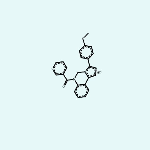 COc1ccc(-c2ncc3n2CN(C(=O)c2cccnc2)c2ccccc2-3)cc1.Cl